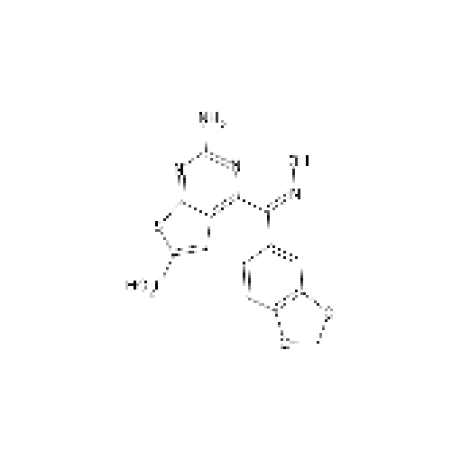 Nc1nc(/C(=N\O)c2ccc3c(c2)OCO3)c2cc(C(=O)O)sc2n1